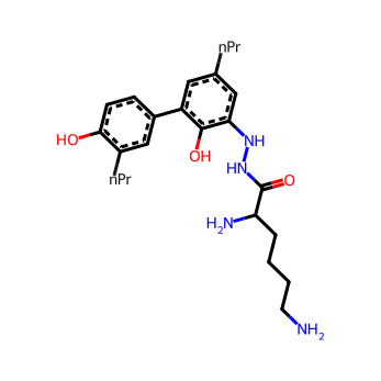 CCCc1cc(NNC(=O)C(N)CCCCN)c(O)c(-c2ccc(O)c(CCC)c2)c1